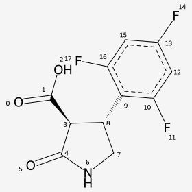 O=C(O)[C@@H]1C(=O)NC[C@H]1c1c(F)cc(F)cc1F